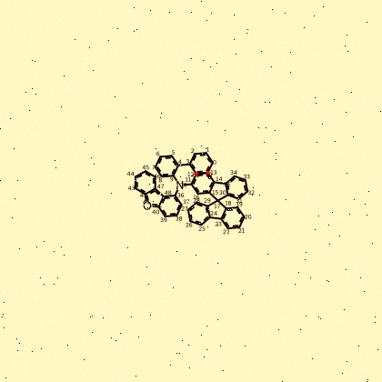 c1ccc(-c2ccccc2N(c2ccc3c(c2)C2(c4ccccc4-c4ccccc42)c2ccccc2-3)c2cccc3oc4ccccc4c23)cc1